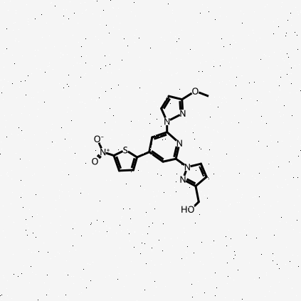 COc1ccn(-c2cc(-c3ccc([N+](=O)[O-])s3)cc(-n3ccc(CO)n3)n2)n1